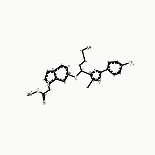 Cc1nc(-c2ccc(C(F)(F)F)cc2)sc1C(CCCO)Oc1ccc2ccn(CC(=O)OC(C)(C)C)c2c1